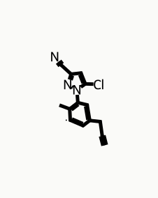 C#CCc1c[c]c(C)c(-n2nc(C#N)cc2Cl)c1